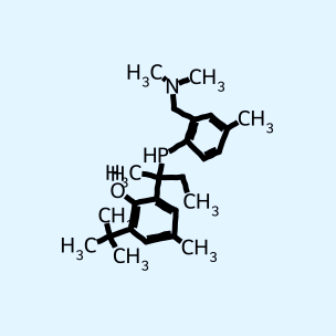 CCC(C)(Pc1ccc(C)cc1CN(C)C)c1cc(C)cc(C(C)(C)C)c1O